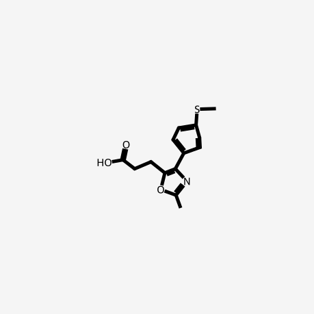 CSc1ccc(-c2nc(C)oc2CCC(=O)O)cc1